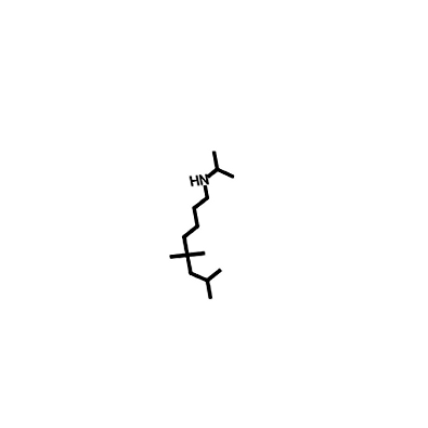 CC(C)CC(C)(C)CCCCNC(C)C